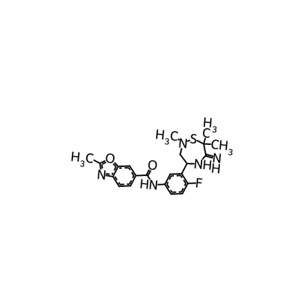 Cc1nc2ccc(C(=O)Nc3ccc(F)c(C4CN(C)SC(C)(C)C(=N)N4)c3)cc2o1